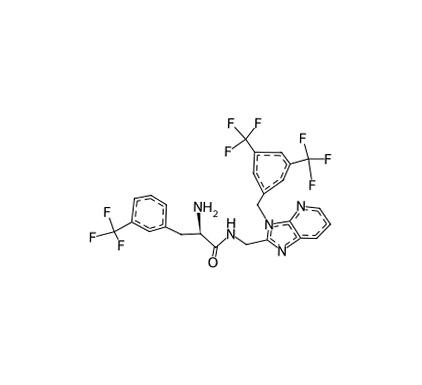 N[C@H](Cc1cccc(C(F)(F)F)c1)C(=O)NCc1nc2cccnc2n1Cc1cc(C(F)(F)F)cc(C(F)(F)F)c1